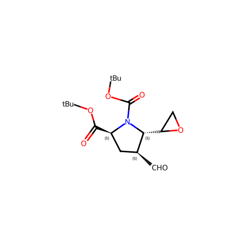 CC(C)(C)OC(=O)[C@@H]1C[C@H](C=O)[C@@H](C2CO2)N1C(=O)OC(C)(C)C